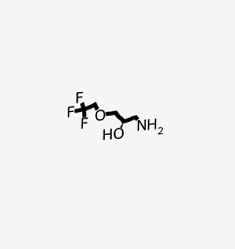 NC[C@H](O)COCC(F)(F)F